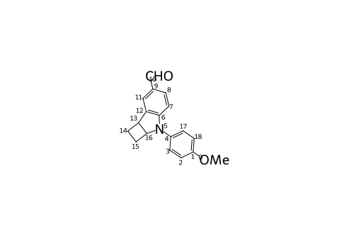 COc1ccc(N2c3ccc(C=O)cc3C3CCC32)cc1